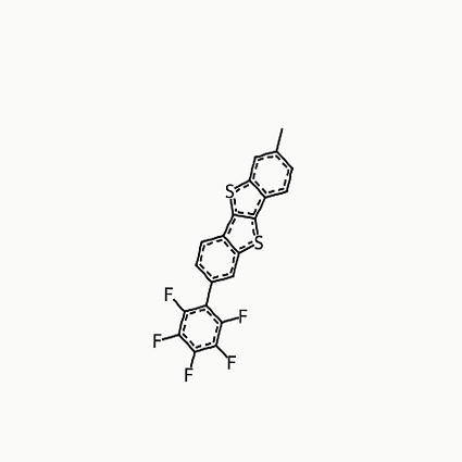 Cc1ccc2c(c1)sc1c3ccc(-c4c(F)c(F)c(F)c(F)c4F)cc3sc21